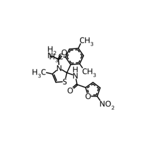 CC1=CSC(NC(=O)c2ccc([N+](=O)[O-])o2)(c2c(C)cc(C)cc2C)N1C(N)=O